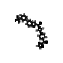 O=C(c1cc2cc(-c3cccc(C(F)(F)F)c3)ccc2o1)N1CC(N2CCN(C(=O)c3nccs3)CC2)C1